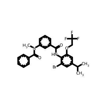 CC(C)c1cc(Br)c(NC(=O)c2cccc(N(C)C(=O)c3ccccc3)c2)c(OCC(F)(F)F)c1